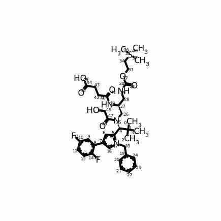 CC(C)(C)[C@H](c1cc(-c2cc(F)ccc2F)cn1Cc1ccccc1)N(C[C@H](CNC(=O)OCCS(C)(C)C)NC(=O)CCC(=O)O)C(=O)CO